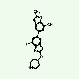 Cc1cn2cc(-c3cc(F)c4nc(OC5CCNCC5)sc4c3)cc(C#N)c2n1